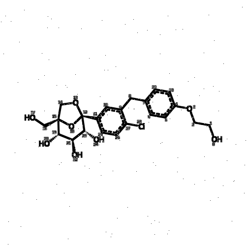 OCCOc1ccc(Cc2cc([C@]34OC[C@](CO)(O3)[C@@H](O)[C@H](O)[C@H]4O)ccc2Cl)cc1